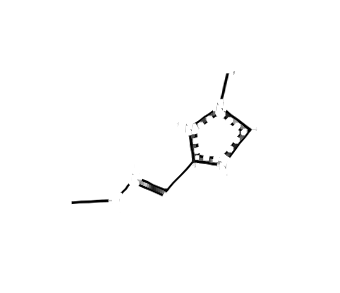 CO/N=C/c1ncn(C)n1